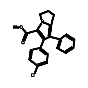 COC(=O)c1c(-c2ccc(Cl)cc2)c(-c2ccccc2)c2n1CCC2